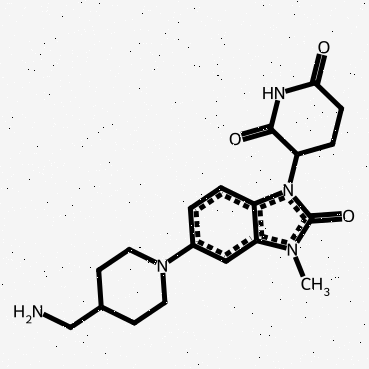 Cn1c(=O)n(C2CCC(=O)NC2=O)c2ccc(N3CCC(CN)CC3)cc21